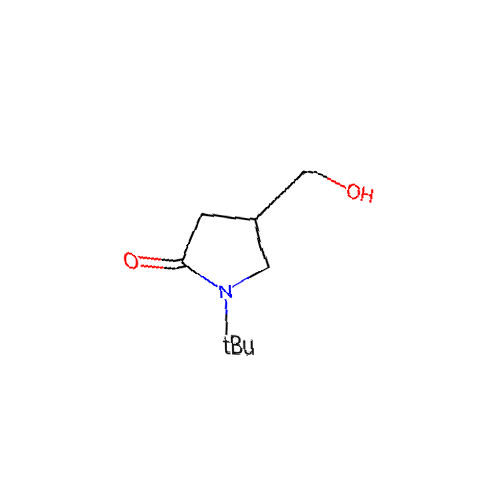 CC(C)(C)N1CC(CO)CC1=O